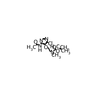 CC(=O)Nc1ncnc(Cl)c1OCCN(C)C(=O)OC(C)(C)C